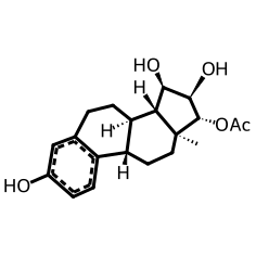 CC(=O)O[C@H]1[C@H](O)[C@H](O)[C@H]2[C@@H]3CCc4cc(O)ccc4[C@H]3CC[C@@]21C